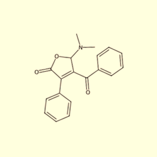 CN(C)C1OC(=O)C(c2ccccc2)=C1C(=O)c1ccccc1